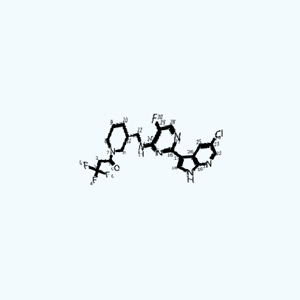 O=C(CC(F)(F)F)N1CCC[C@@H](CNc2nc(-c3c[nH]c4ncc(Cl)cc34)ncc2F)C1